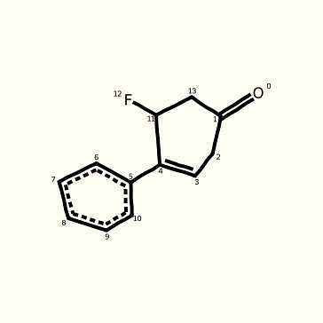 O=C1CC=C(c2ccccc2)C(F)C1